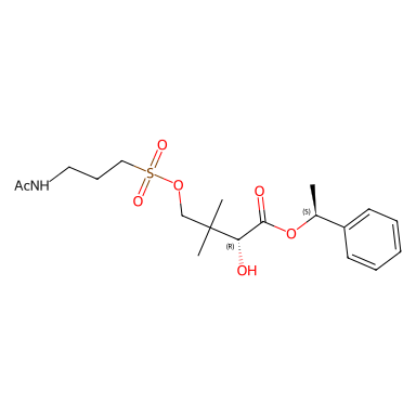 CC(=O)NCCCS(=O)(=O)OCC(C)(C)[C@@H](O)C(=O)O[C@@H](C)c1ccccc1